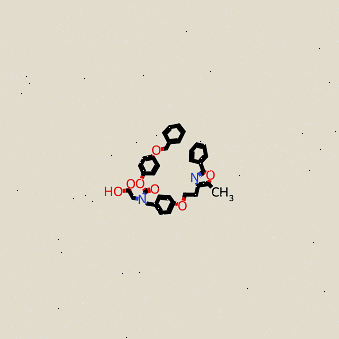 Cc1oc(-c2ccccc2)nc1CCOc1ccc(CN(CC(=O)O)C(=O)Oc2ccc(OCc3ccccc3)cc2)cc1